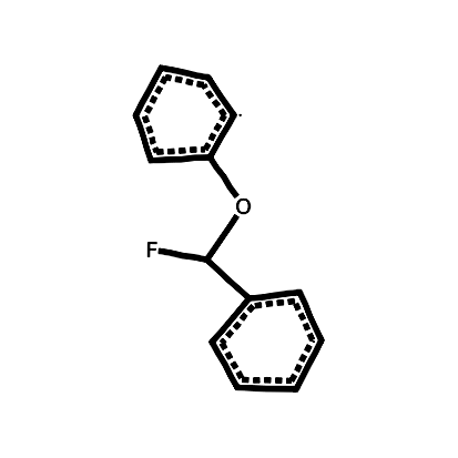 FC(Oc1[c]cccc1)c1ccccc1